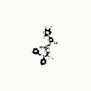 C[C@@H](C(=O)OP(=O)(O)OC[C@H]1O[C@@H](n2cc(F)c(=O)[nH]c2=O)C[C@@H]1O)N(OCc1ccccc1)c1ccccc1